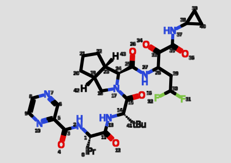 CC(C)[C@H](NC(=O)c1cnccn1)C(=O)N[C@H](C(=O)N1C[C@@H]2CCC[C@@H]2[C@H]1C(=O)NC(CC(F)F)C(=O)C(=O)NC1CC1)C(C)(C)C